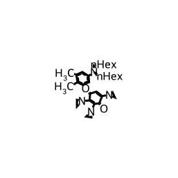 CCCCCCN(CCCCCC)c1ccc(C)c(C)c1.O=C1C=C(N2CC2)C(=O)C(N2CC2)=C1N1CC1